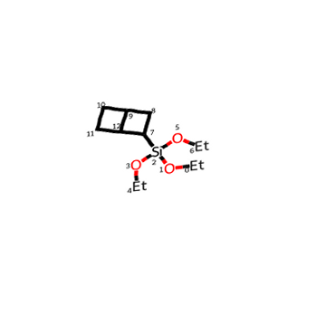 CCO[Si](OCC)(OCC)C1CC2CCC21